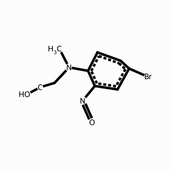 CN(CCO)c1ccc(Br)cc1N=O